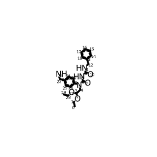 CCOC(CN(C(=O)NC(=O)NCc1ccccc1)c1ccc(CN)cc1)OCC